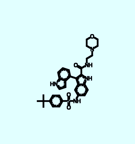 CC(C)(C)c1ccc(S(=O)(=O)Nc2ccc3[nH]c(C(=O)NCCN4CCOCC4)c(-c4cccc5[nH]ccc45)c3c2)cc1